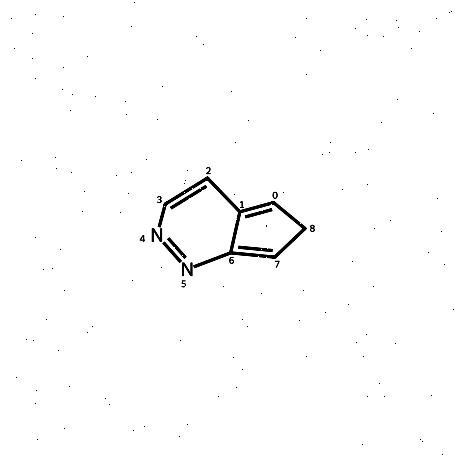 C1=c2ccnnc2=CC1